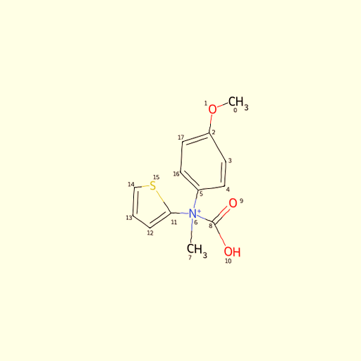 COc1ccc([N+](C)(C(=O)O)c2cccs2)cc1